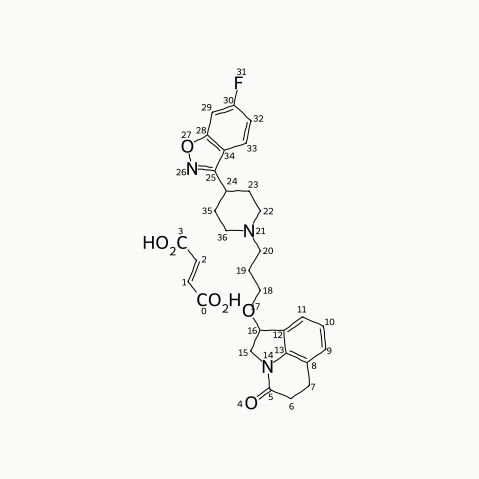 O=C(O)/C=C/C(=O)O.O=C1CCc2cccc3c2N1CC3OCCCN1CCC(c2noc3cc(F)ccc23)CC1